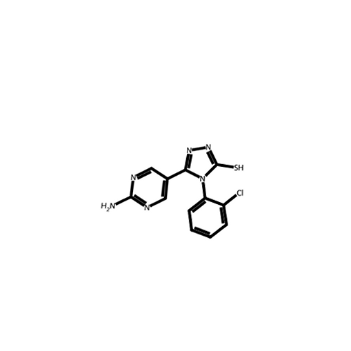 Nc1ncc(-c2nnc(S)n2-c2ccccc2Cl)cn1